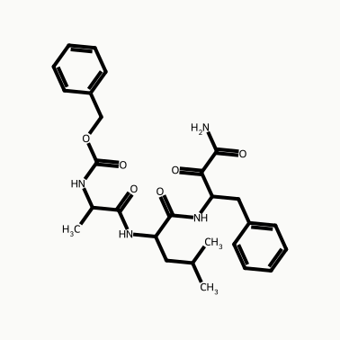 CC(C)CC(NC(=O)C(C)NC(=O)OCc1ccccc1)C(=O)NC(Cc1ccccc1)C(=O)C(N)=O